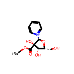 CC(C)(C)OC(=O)[C@@]1(O)[C@@H](O)[C@@H](CO)O[C@H]1[n+]1ccccc1